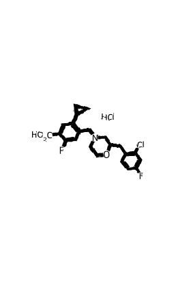 Cl.O=C(O)c1cc(C2CC2)c(CN2CCOC(Cc3ccc(F)cc3Cl)C2)cc1F